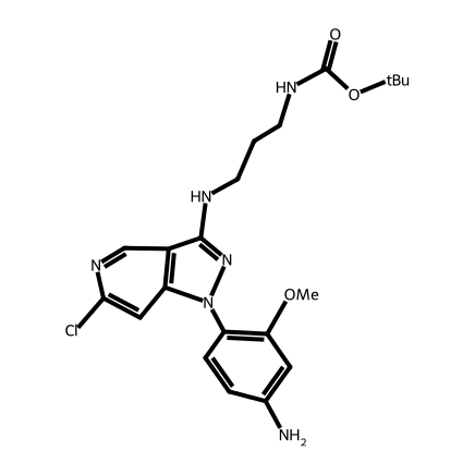 COc1cc(N)ccc1-n1nc(NCCCNC(=O)OC(C)(C)C)c2cnc(Cl)cc21